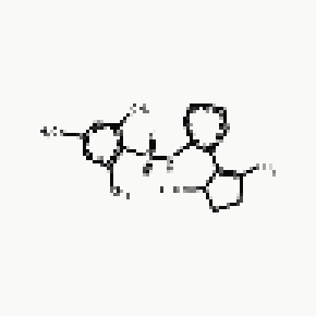 CC1=C(c2ccccc2NS(=O)(=O)c2c(C)cc(C)cc2C)C(C=O)CC1